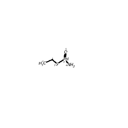 CCS[PH](N)=O